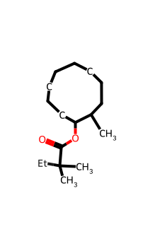 CCC(C)(C)C(=O)OC1CCCCCCCCC1C